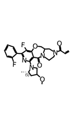 C=CC(=O)N1CCN2C(=O)c3c(N4CC(OC)C[C@@H]4C)nc(-c4ccccc4F)c(F)c3OCC2C1